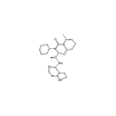 Cc1cccc2cc([C@H](C)Nc3ncnc4[nH]ccc34)n(-c3ccccc3)c(=O)c12